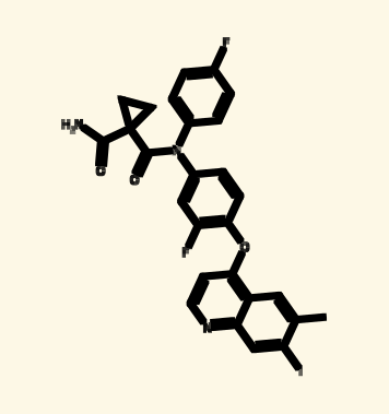 Cc1cc2c(Oc3ccc(N(C(=O)C4(C(N)=O)CC4)c4ccc(F)cc4)cc3F)ccnc2cc1I